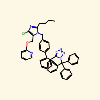 CCCCc1nc(Cl)c(COc2ccccn2)n1Cc1ccc(-c2ccccc2-c2nnnn2C(c2ccccc2)(c2ccccc2)c2ccccc2)cc1